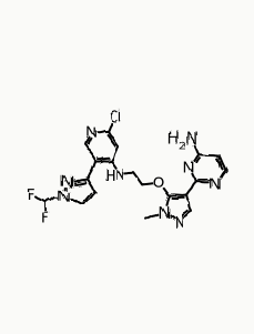 Cn1ncc(-c2nccc(N)n2)c1OCCNc1cc(Cl)ncc1-c1ccn(C(F)F)n1